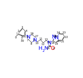 Cc1cccc(N2CCN(CCCCN(C(N)=O)c3cc4ccccn4n3)CC2)c1C